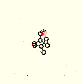 CC1(C)OB(c2ccc3c(c2)C(c2cc(C4=CCCC=C4)cc(-c4ccccc4)c2)(c2cc(-c4ccccc4)cc(-c4ccccc4)c2)c2ccccc2-3)OC1(C)C